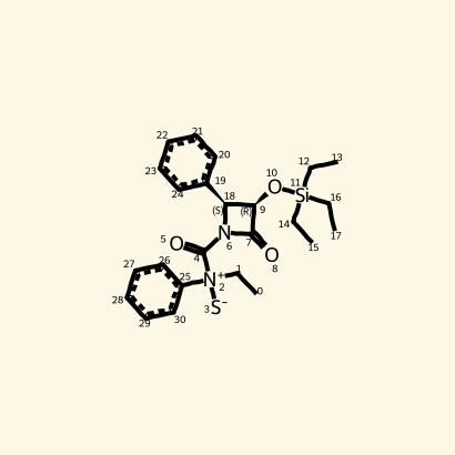 CC[N+]([S-])(C(=O)N1C(=O)[C@H](O[Si](CC)(CC)CC)[C@@H]1c1ccccc1)c1ccccc1